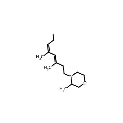 CC(=C/CI)/C=C(\C)CCN1CCOCC1C